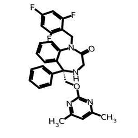 Cc1cc(C)nc(OC[C@@]2(c3ccccc3)NCC(=O)N(Cc3c(F)cc(F)cc3F)c3ccccc32)n1